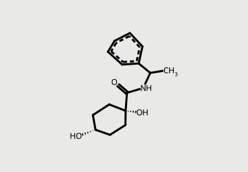 CC(NC(=O)[C@]1(O)CC[C@@H](O)CC1)c1ccccc1